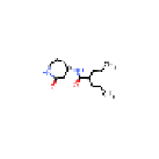 CCCC(CCC)C(=O)N[C@H]1CCCNC(=O)C1